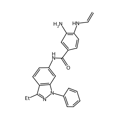 C=CNc1ccc(C(=O)Nc2ccc3c(CC)nn(-c4ccccc4)c3c2)cc1N